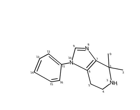 CC1(C)NCCc2c1ncn2-c1ccccc1